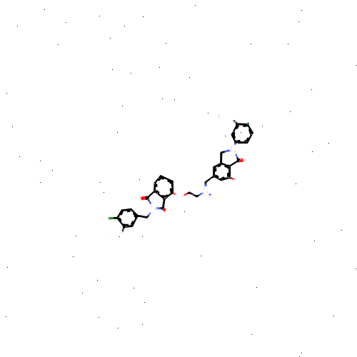 CN(CCOc1cccc2c1C(=O)N(Cc1ccc(Cl)c(C(F)(F)F)c1)C2=O)Cc1cc(O)c2c(c1)CN(c1ccc(Cl)c(C(F)(F)F)c1)C2=O